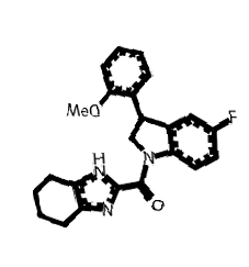 COc1ccccc1C1CN(C(=O)c2nc3c([nH]2)CCCC3)c2ccc(F)cc21